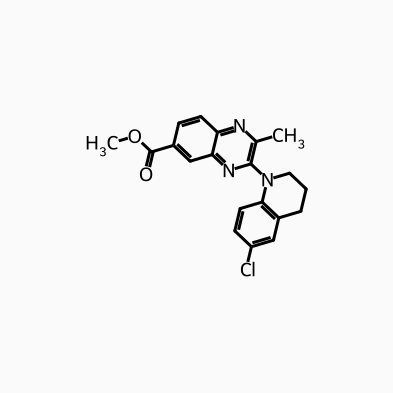 COC(=O)c1ccc2nc(C)c(N3CCCc4cc(Cl)ccc43)nc2c1